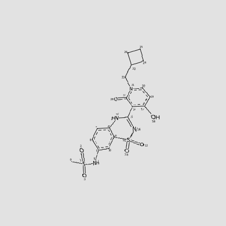 CS(=O)(=O)Nc1ccc2c(c1)S(=O)(=O)N=C(c1c(O)ccn(CC3CCC3)c1=O)N2